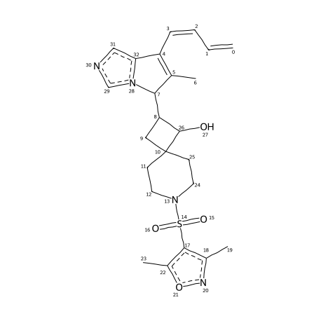 C=C/C=C\C1=C(C)C(C2CC3(CCN(S(=O)(=O)c4c(C)noc4C)CC3)C2O)n2cncc21